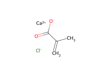 C=C(C)C(=O)[O-].[Ca+2].[Cl-]